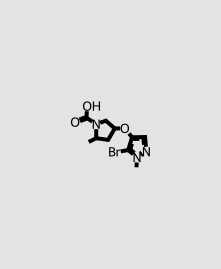 CC1CC(Oc2cnn(C)c2Br)CN1C(=O)O